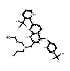 CCCN(CCCO)Cc1cc(Nc2ccc(C(F)(F)F)cc2)c2ccc(-c3ncccc3C(F)(F)F)nc2n1